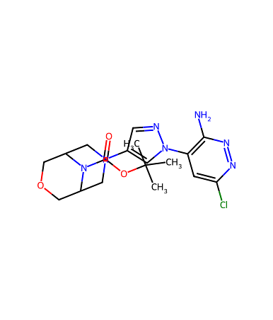 CC(C)(C)OC(=O)N1C2COCC1CN(c1cnn(-c3cc(Cl)nnc3N)c1)C2